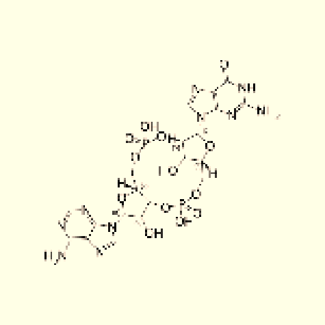 Nc1nc2c(ncn2[C@@H]2O[C@@H]3COP(=O)(O)OC4[C@@H](COP(=O)(O)O[C@H]2C3O)O[C@@H](n2cnc3c(N)ncnc32)[C@H]4O)c(=O)[nH]1